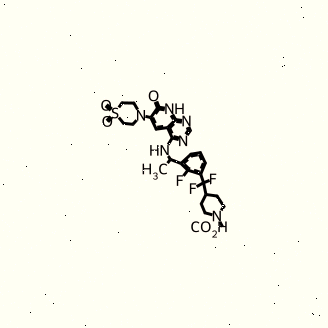 CC(Nc1ncnc2[nH]c(=O)c(N3CCS(=O)(=O)CC3)cc12)c1cccc(C(F)(F)C2CCN(C(=O)O)CC2)c1F